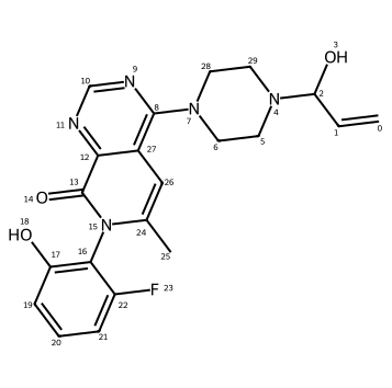 C=CC(O)N1CCN(c2ncnc3c(=O)n(-c4c(O)cccc4F)c(C)cc23)CC1